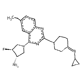 Cc1ccc2nc(C3CCC(=NC4CC4)CC3)nc(N3C[C@H](N)[C@@H](F)C3)c2c1